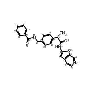 C[C@@H](C(=O)Nc1cc2ccncc2s1)c1ccc(COC(=O)c2ccccc2)cc1